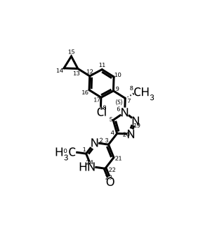 Cc1nc(-c2cn([C@@H](C)c3ccc(C4CC4)cc3Cl)nn2)cc(=O)[nH]1